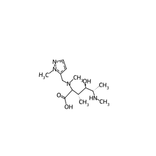 CN[C@@H](C)[C@H](O)[C@H](C)C(C(=O)O)N(C)Cc1ccnn1C